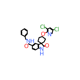 O=C(NCc1ccccc1)c1ccc2c(c1)C1(CCC(Oc3ncc(Cl)cc3Cl)CC1)C(=O)N2